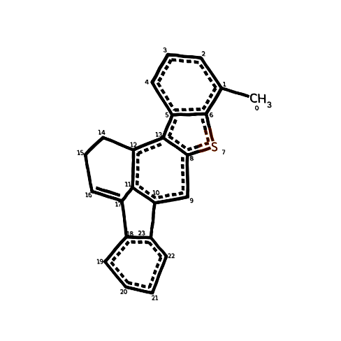 Cc1cccc2c1sc1cc3c4c(c12)CCC=C4c1ccccc1-3